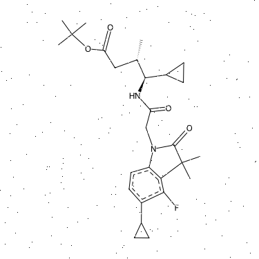 C[C@@H](CC(=O)OC(C)(C)C)[C@H](NC(=O)CN1C(=O)C(C)(C)c2c1ccc(C1CC1)c2F)C1CC1